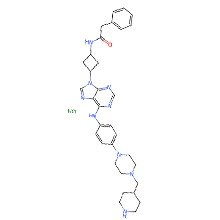 Cl.O=C(Cc1ccccc1)NC1CC(n2cnc3c(Nc4ccc(N5CCN(CC6CCNCC6)CC5)cc4)ncnc32)C1